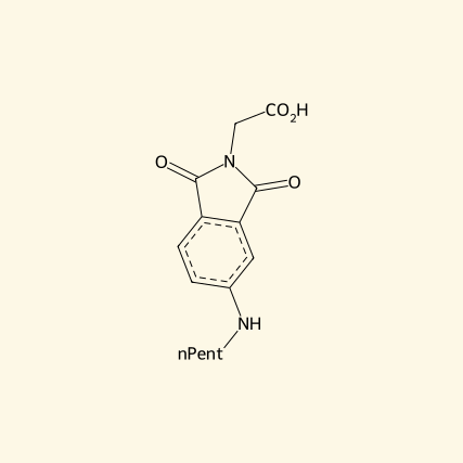 CCCCCNc1ccc2c(c1)C(=O)N(CC(=O)O)C2=O